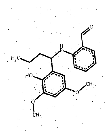 CCCC(Pc1ccccc1C=O)c1cc(OC)cc(OC)c1O